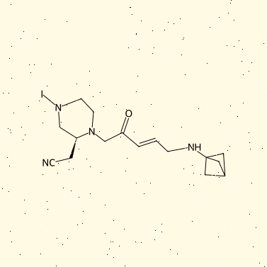 N#CC[C@H]1CN(I)CCN1CC(=O)/C=C/CNC12CC(C1)C2